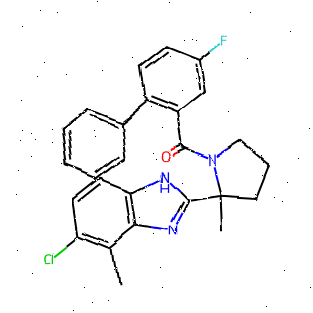 Cc1c(Cl)ccc2[nH]c(C3(C)CCCN3C(=O)c3cc(F)ccc3-c3ccccc3)nc12